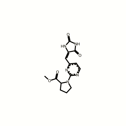 COC(=O)C1CCCN1c1nccc(C=C2NC(=O)NC2=O)n1